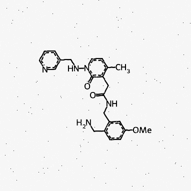 COc1ccc(CN)c(CNC(=O)Cc2c(C)ccn(NCc3cccnc3)c2=O)c1